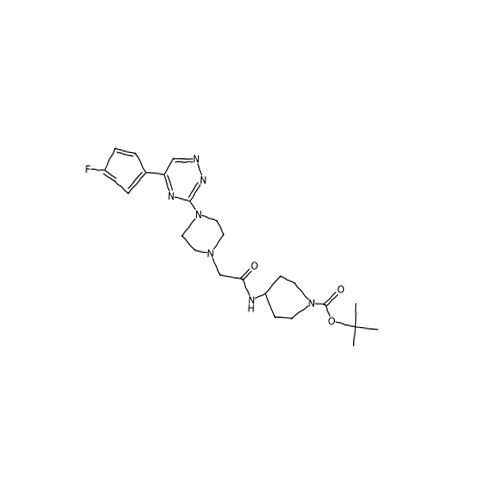 CC(C)(C)OC(=O)N1CCC(NC(=O)CN2CCN(c3nncc(-c4ccc(F)cc4)n3)CC2)CC1